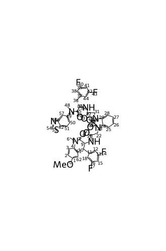 COc1ccc(N(C)C(=O)C(Cc2cc(F)cc(F)c2)NC(=O)CN2c3ccccc3N(CC(=O)N[C@@H](Cc3cc(F)cc(F)c3)C(=O)N(C)c3ccc4scnc4c3)S2(=O)=O)cc1